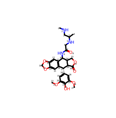 CNCC(C)NCC(=O)NC1c2cc3c(cc2[C@@H](c2cc(OC)c(O)c(OC)c2)C2C(=O)OCC12)OCO3